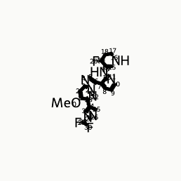 COc1cc2ncc(-c3cccnc3N[C@H]3CNCC[C@@H]3F)n2nc1-c1cnn(C(F)F)c1